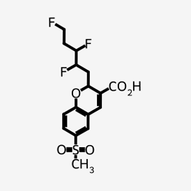 CS(=O)(=O)c1ccc2c(c1)C=C(C(=O)O)C(CC(F)C(F)CCF)O2